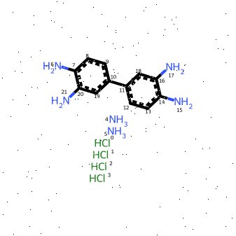 Cl.Cl.Cl.Cl.N.N.Nc1ccc(-c2ccc(N)c(N)c2)cc1N